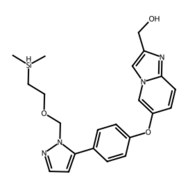 C[SiH](C)CCOCn1nccc1-c1ccc(Oc2ccc3nc(CO)cn3c2)cc1